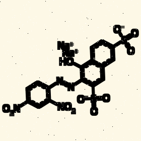 O=[N+]([O-])c1ccc(N=Nc2c(S(=O)(=O)[O-])cc3cc(S(=O)(=O)[O-])ccc3c2O)c([N+](=O)[O-])c1.[Na+].[Na+]